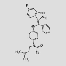 CCC(=O)N(CCN(C)C)c1ccc(NC(=C2C(=O)Nc3cc(F)ccc32)c2ccccc2)cc1